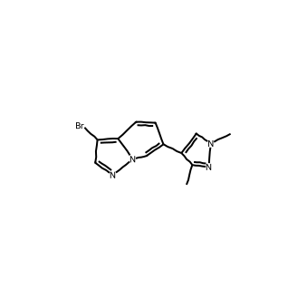 Cc1nn(C)cc1-c1ccc2c(Br)cnn2c1